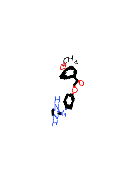 COc1ccc(C(=O)COc2ccc(N=C3NCCN3)cc2)cc1